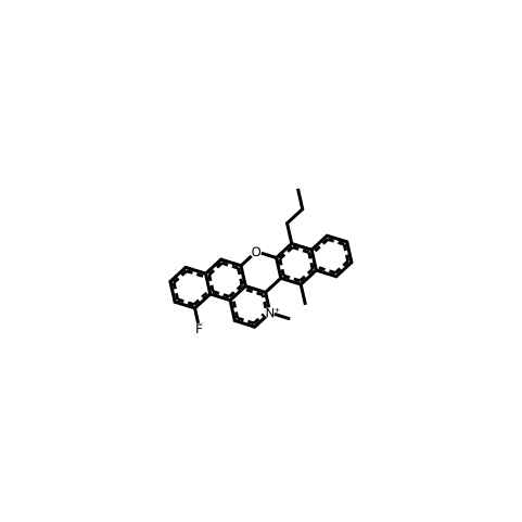 CCCc1c2c(c(C)c3ccccc13)-c1c3c(cc4cccc(F)c4c3cc[n+]1C)O2